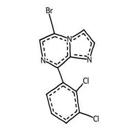 Clc1cccc(-c2ncc(Br)n3ccnc23)c1Cl